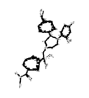 CCN(CC)C(=O)c1cccc([C@](C)(O)CN2CCN(c3ccc(Cl)cc3C#N)C(c3ccc(Cl)cc3)C2)c1